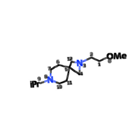 COCCN1CC2(CCN(C(C)C)CC2)C1